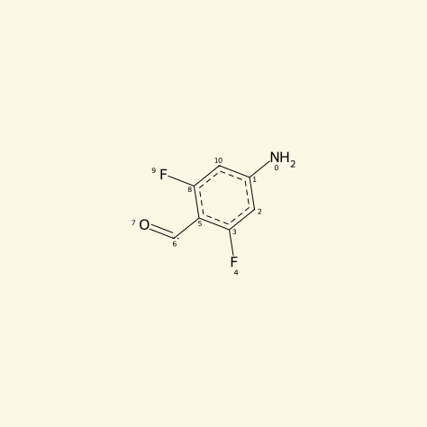 Nc1cc(F)c([C]=O)c(F)c1